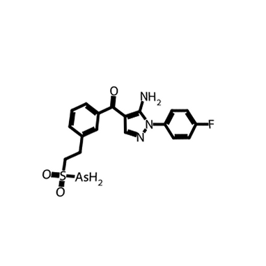 Nc1c(C(=O)c2cccc(CCS(=O)(=O)[AsH2])c2)cnn1-c1ccc(F)cc1